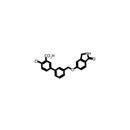 O=C(O)c1cc(-c2cccc(COc3ccc4c(c3)CNC4=O)c2)ccc1Cl